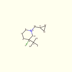 CC(C)(C)C1(F)CCCN(CC2CC2)C1